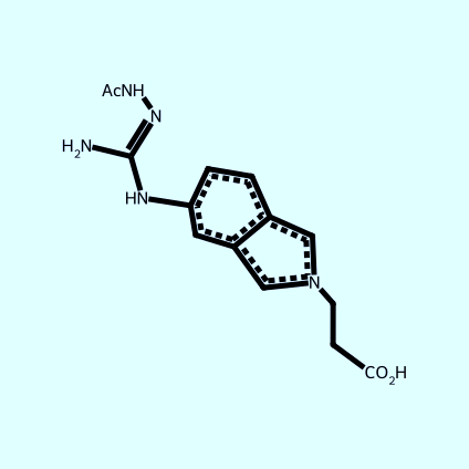 CC(=O)NN=C(N)Nc1ccc2cn(CCC(=O)O)cc2c1